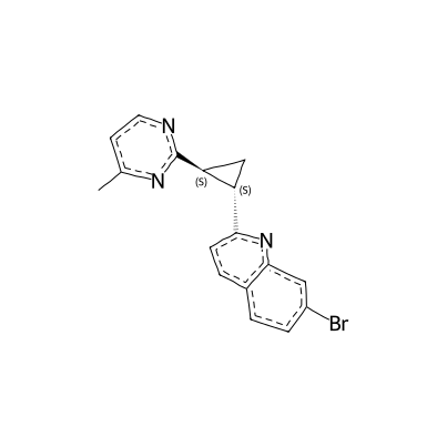 Cc1ccnc([C@H]2C[C@@H]2c2ccc3ccc(Br)cc3n2)n1